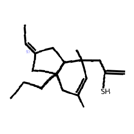 C=C(S)CC1(C)C=C(C)CC2(CCC)C/C(=C/C)CC12